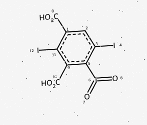 O=C(O)c1cc(I)c(I(=O)=O)c(C(=O)O)c1I